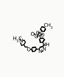 Cc1ccc(S(=O)(=O)N(OC=O)c2ccc(Nc3cc(-c4ccc(OCCC5CCN(C)CC5)cc4)ncn3)cc2)cc1